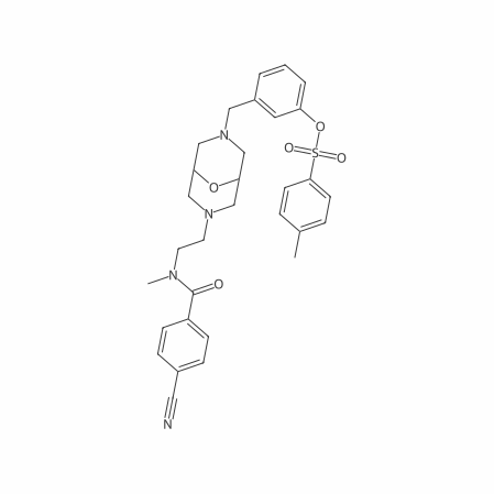 Cc1ccc(S(=O)(=O)Oc2cccc(CN3CC4CN(CCN(C)C(=O)c5ccc(C#N)cc5)CC(C3)O4)c2)cc1